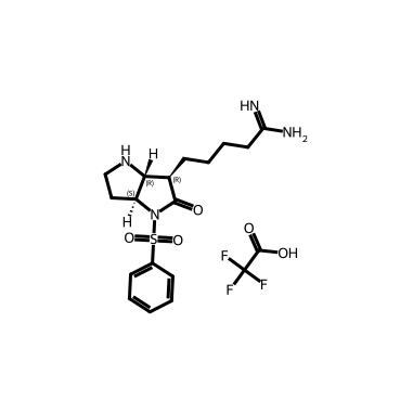 N=C(N)CCCC[C@H]1C(=O)N(S(=O)(=O)c2ccccc2)[C@H]2CCN[C@H]12.O=C(O)C(F)(F)F